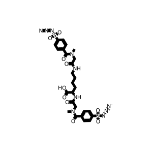 CN(CC(=O)NCCCCC(NC(=O)CN(C)C(=O)c1ccc(S(=O)(=O)N=[N+]=[N-])cc1)C(=O)O)C(=O)c1ccc(S(=O)(=O)N=[N+]=[N-])cc1